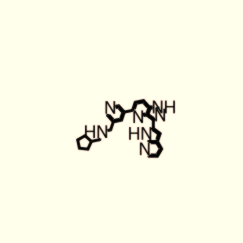 c1cnc2[nH]c(-c3n[nH]c4ccc(-c5cncc(CNCC6CCCC6)c5)nc34)cc2c1